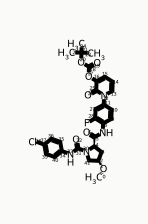 CO[C@@H]1C[C@H](C(=O)Nc2ccc(-n3cccc(OC(=O)OC(C)(C)C)c3=O)cc2F)N(C(=O)Nc2ccc(Cl)cc2)C1